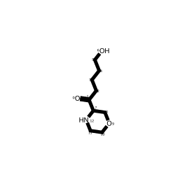 O=C(CCCCO)C1COCCN1